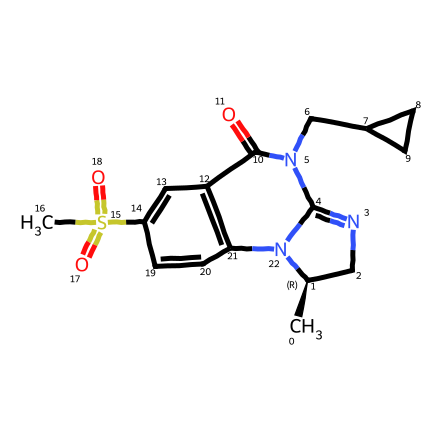 C[C@@H]1CN=C2N(CC3CC3)C(=O)c3cc(S(C)(=O)=O)ccc3N21